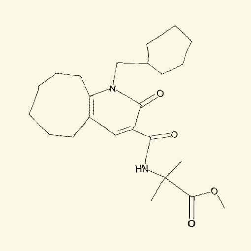 COC(=O)C(C)(C)NC(=O)c1cc2c(n(CC3CCCCC3)c1=O)CCCCCC2